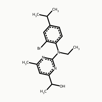 CCN(c1nc(C)cc(C(C)O)n1)c1ccc(C(C)C)cc1Br